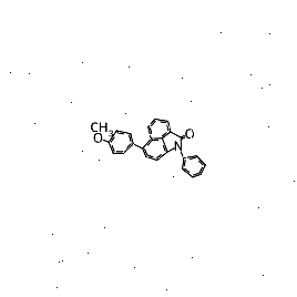 COc1ccc(-c2ccc3c4c(cccc24)C(=O)N3c2ccccc2)cc1